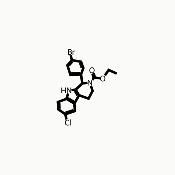 CCOC(=O)N1CCc2c([nH]c3ccc(Cl)cc23)C1c1ccc(Br)cc1